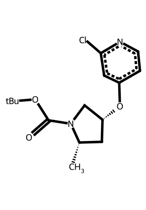 C[C@H]1C[C@@H](Oc2ccnc(Cl)c2)CN1C(=O)OC(C)(C)C